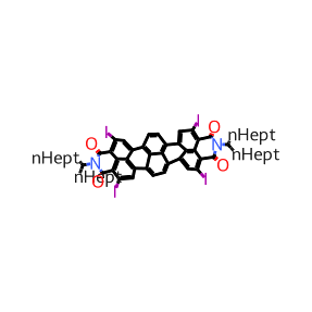 CCCCCCCC(CCCCCCC)N1C(=O)c2c(I)cc3c4ccc5c6cc(I)c7c8c(c(I)cc(c9ccc(c%10cc(I)c(c2c3%10)C1=O)c4c59)c86)C(=O)N(C(CCCCCCC)CCCCCCC)C7=O